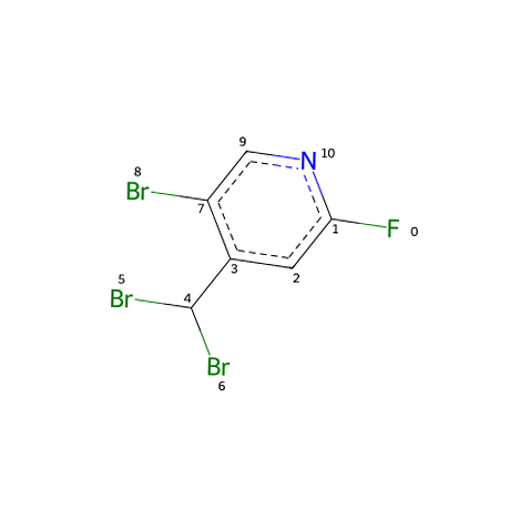 Fc1cc(C(Br)Br)c(Br)cn1